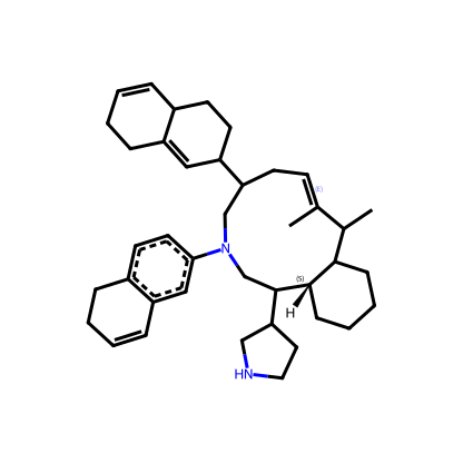 C/C1=C\CC(C2C=C3CCC=CC3CC2)CN(c2ccc3c(c2)C=CCC3)CC(C2CCNC2)[C@H]2CCCCC2C1C